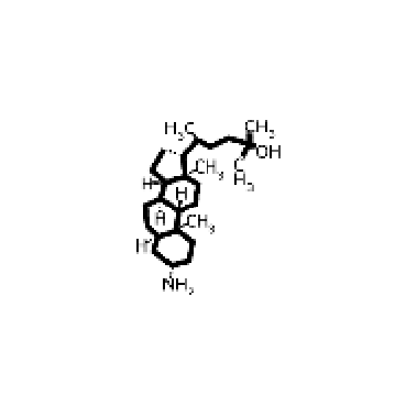 C[C@H](CCC(C)(C)O)[C@H]1CC[C@H]2[C@@H]3CC[C@@H]4C[C@@H](N)CC[C@]4(C)[C@H]3CC[C@]12C